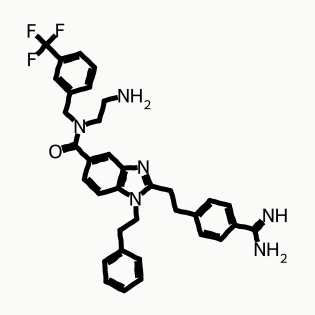 N=C(N)c1ccc(CCc2nc3cc(C(=O)N(CCN)Cc4cccc(C(F)(F)F)c4)ccc3n2CCc2ccccc2)cc1